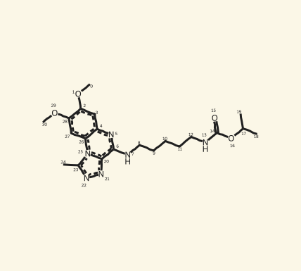 COc1cc2nc(NCCCCCNC(=O)OC(C)C)c3nnc(C)n3c2cc1OC